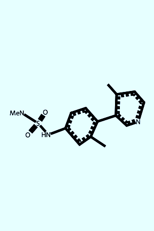 CNS(=O)(=O)Nc1ccc(-c2cnccc2C)c(C)c1